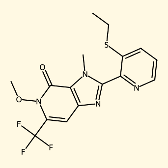 CCSc1cccnc1-c1nc2cc(C(F)(F)F)n(OC)c(=O)c2n1C